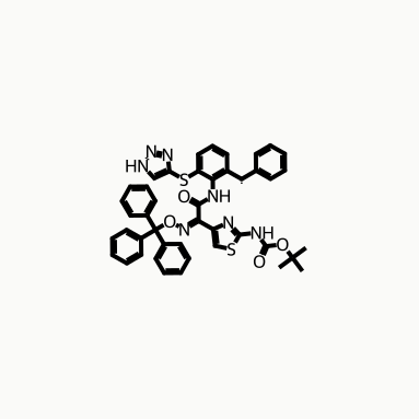 CC(C)(C)OC(=O)Nc1nc(/C(=N/OC(c2ccccc2)(c2ccccc2)c2ccccc2)C(=O)Nc2c([CH]c3ccccc3)cccc2Sc2c[nH]nn2)cs1